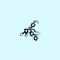 CCCn1c(C2CCN(C)CC2)nc(-c2ccc(Cl)c(Cl)c2)c1-c1ccnc(NC2CCCCC2)n1